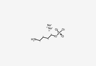 NCCCCOP(=O)([O-])[O-].[Na+].[Na+]